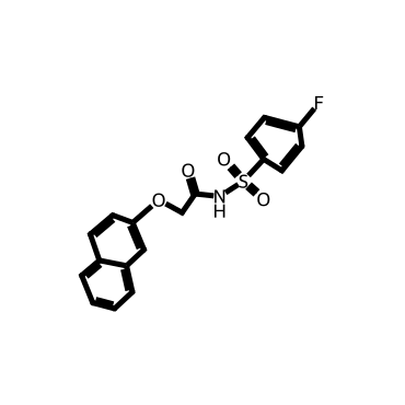 O=C(COc1ccc2ccccc2c1)NS(=O)(=O)c1ccc(F)cc1